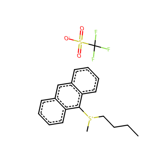 CCCC[S+](C)c1c2ccccc2cc2ccccc12.O=S(=O)([O-])C(F)(F)F